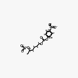 CC(CCCCOC(=O)Oc1ccc([N+](=O)[O-])cc1)O[N+](=O)[O-]